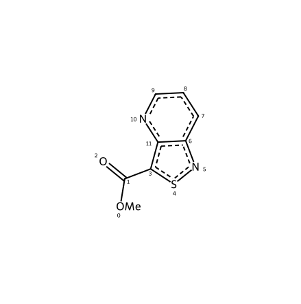 COC(=O)c1snc2cccnc12